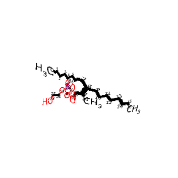 CCCCCCCCC(CCCCCCCC)=C(C)C(=O)OP(=O)(O)OCCO